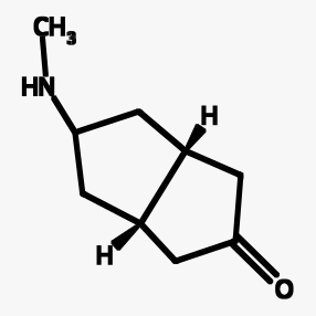 CNC1C[C@H]2CC(=O)C[C@H]2C1